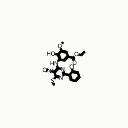 [C-]#[N+]c1c(Nc2cc(C(=O)OCC)cc(OC)c2O)nc(-c2ccccc2Cl)nc1SC